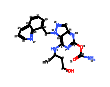 CCCC(CCO)Nc1nc(OC(N)=O)nc2cnn(Cc3cccc4cccnc34)c12